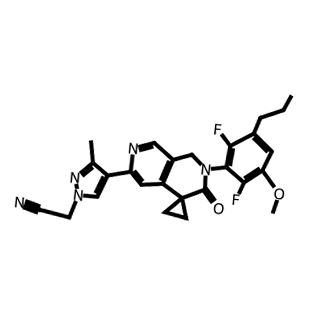 CCCc1cc(OC)c(F)c(N2Cc3cnc(-c4cn(CC#N)nc4C)cc3C3(CC3)C2=O)c1F